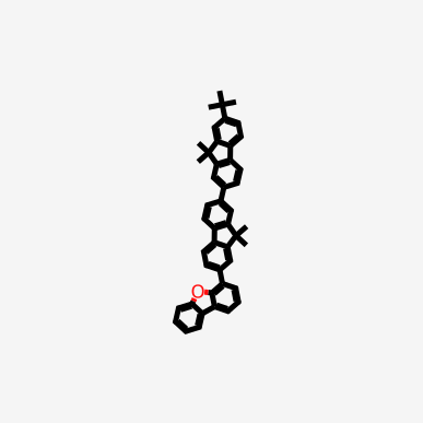 CC(C)(C)c1ccc2c(c1)C(C)(C)c1cc(-c3ccc4c(c3)C(C)(C)c3cc(-c5cccc6c5oc5ccccc56)ccc3-4)ccc1-2